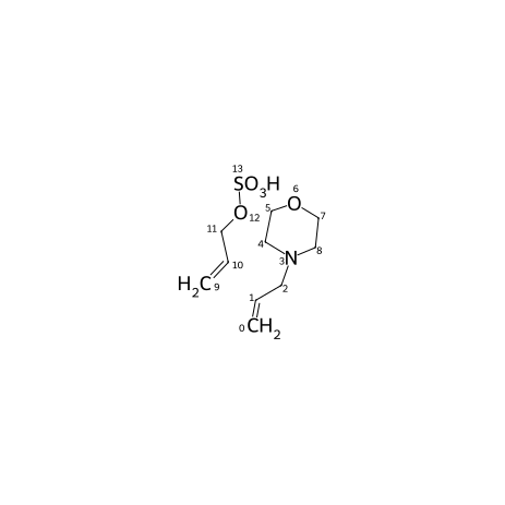 C=CCN1CCOCC1.C=CCOS(=O)(=O)O